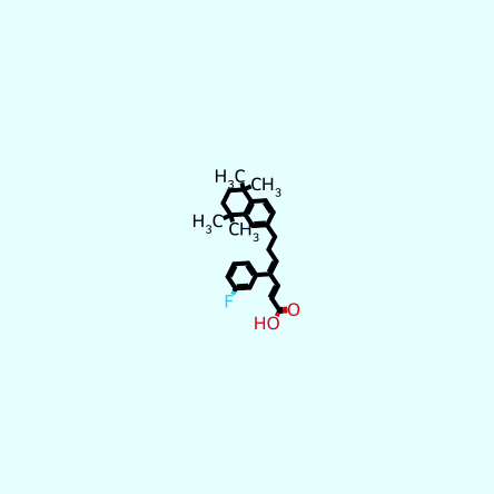 CC1(C)CCC(C)(C)c2cc(CCC=C(C=CC(=O)O)c3cccc(F)c3)ccc21